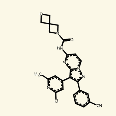 Cc1cc(-c2c(-c3cccc(C#N)c3)nn3ccc(NC(=O)N4CC5(COC5)C4)nc23)cc(Cl)n1